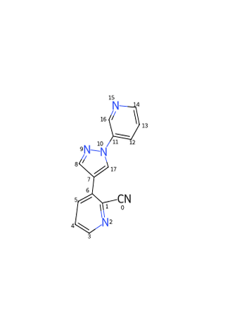 N#Cc1ncccc1-c1cnn(-c2cccnc2)c1